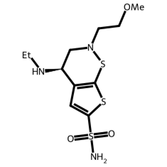 CCN[C@H]1CN(CCOC)Sc2sc(S(N)(=O)=O)cc21